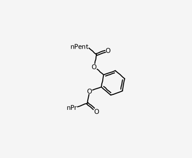 CCCCCC(=O)Oc1ccccc1OC(=O)CCC